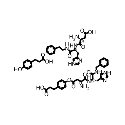 N[C@@H](CC(=O)O)C(=O)N[C@@H](Cc1c[nH]cn1)C(=O)NCCc1ccccc1.N[C@@H](CC(=O)Oc1ccc(CCC(=O)O)cc1)C(=O)N[C@@H](Cc1c[nH]cn1)C(=O)NCc1ccccc1.O=C(O)CCc1ccc(O)cc1